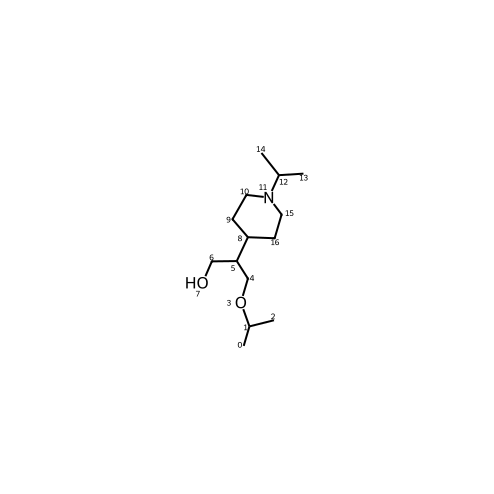 CC(C)OCC(CO)C1CCN(C(C)C)CC1